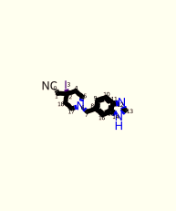 N#CCC1(I)CCN(Cc2ccc3nc[nH]c3c2)CC1